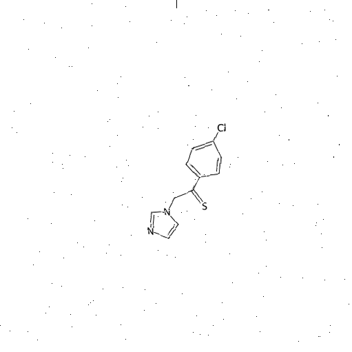 S=C(Cn1ccnc1)c1ccc(Cl)cc1